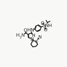 CC(C)NS(=O)(=O)c1ccc(Nc2nn([C@@H]3CCCC[C@@H]3C#N)cc2C(N)=O)cc1